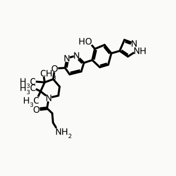 CC1(C)C(Oc2ccc(-c3ccc(-c4cn[nH]c4)cc3O)nn2)CCN(C(=O)CCN)C1(C)C